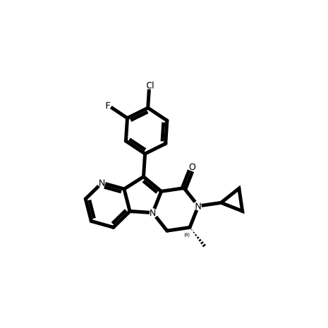 C[C@@H]1Cn2c(c(-c3ccc(Cl)c(F)c3)c3ncccc32)C(=O)N1C1CC1